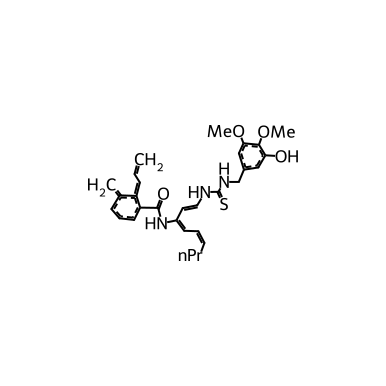 C=C/C=c1/c(C(=O)NC(/C=C/NC(=S)NCc2cc(O)c(OC)c(OC)c2)=C/C=C\CCC)cccc1=C